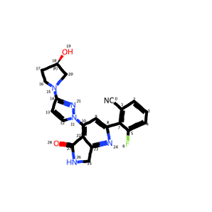 N#Cc1cccc(F)c1-c1cc(-n2ccc(N3CC[C@@H](O)C3)n2)c2c(n1)CNC2=O